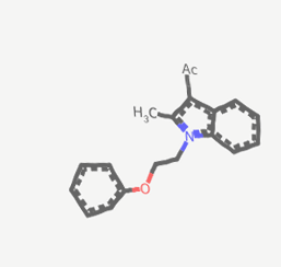 CC(=O)c1c(C)n(CCOc2ccccc2)c2ccccc12